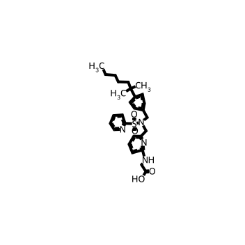 CCCCCC(C)(C)c1ccc(CN(Cc2cccc(NCC(=O)O)n2)S(=O)(=O)c2ccccn2)cc1